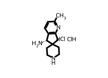 Cc1ccc2c(n1)CC1(CCNCC1)[C@@H]2N.Cl.Cl